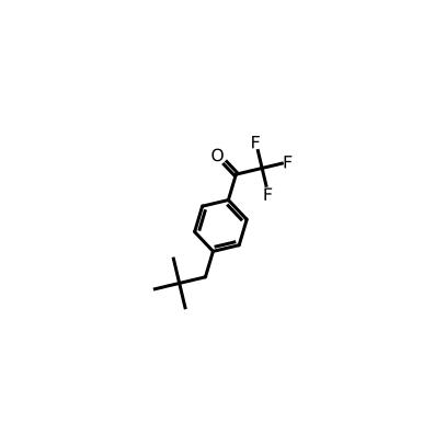 CC(C)(C)Cc1ccc(C(=O)C(F)(F)F)cc1